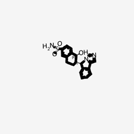 NS(=O)(=O)c1ccc2c(c1)CC[C@@H](C1c3ccccc3-c3cncn31)[C@H]2O